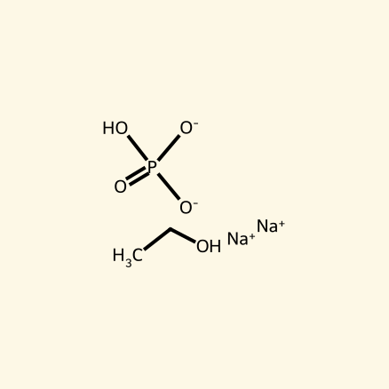 CCO.O=P([O-])([O-])O.[Na+].[Na+]